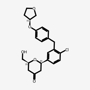 O=C1C[C@@H](CO)O[C@@H](c2ccc(Cl)c(Cc3ccc(O[C@H]4CCOC4)cc3)c2)C1